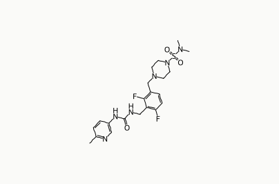 Cc1ccc(NC(=O)NCc2c(F)ccc(CN3CCN(S(=O)(=O)N(C)C)CC3)c2F)cn1